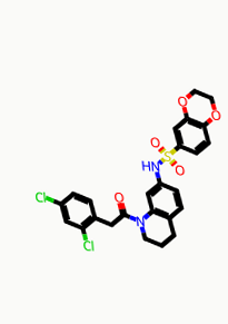 O=C(Cc1ccc(Cl)cc1Cl)N1CCCc2ccc(NS(=O)(=O)c3ccc4c(c3)OCCO4)cc21